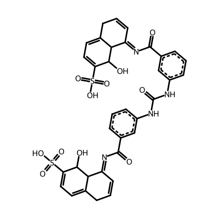 O=C(Nc1cccc(C(=O)N=C2C=CCC3=CC=C(S(=O)(=O)O)C(O)C32)c1)Nc1cccc(C(=O)N=C2C=CCC3=CC=C(S(=O)(=O)O)C(O)C32)c1